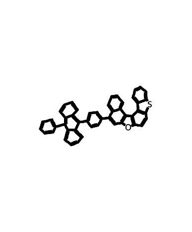 c1ccc(-c2c3ccccc3c(-c3ccc(-c4cc5oc6ccc7sc8ccccc8c7c6c5c5ccccc45)cc3)c3ccccc23)cc1